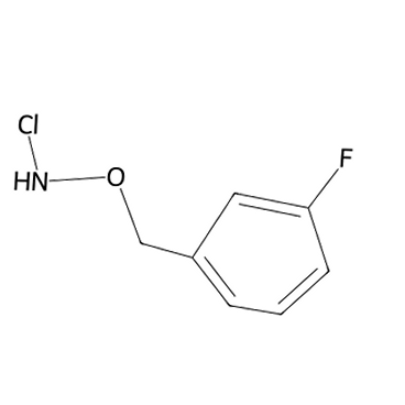 Fc1cccc(CONCl)c1